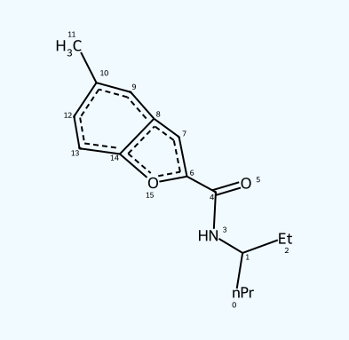 CCCC(CC)NC(=O)c1cc2cc(C)ccc2o1